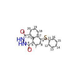 O=C1NNC(=O)c2ccc(Sc3ccccc3)c3cccc1c23